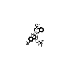 [O-][S+]1CCN(c2nc(OCC(F)(F)F)c3cc(Br)ccc3n2)Cc2ccccc21